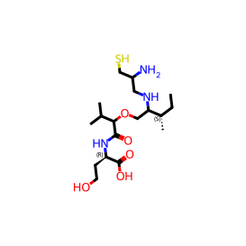 CC[C@H](C)C(COC(C(=O)N[C@H](CCO)C(=O)O)C(C)C)NCC(N)CS